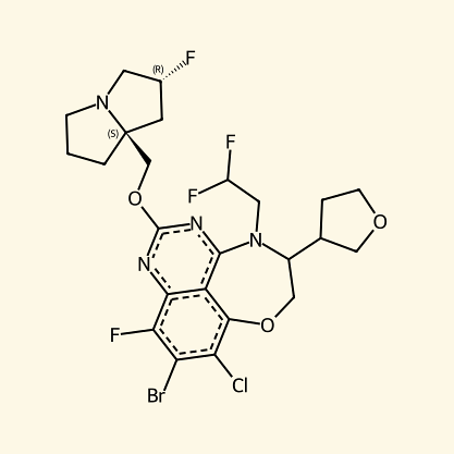 Fc1c(Br)c(Cl)c2c3c(nc(OC[C@@]45CCCN4C[C@H](F)C5)nc13)N(CC(F)F)C(C1CCOC1)CO2